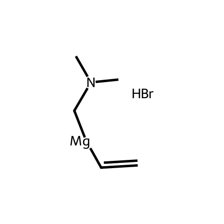 Br.C=[CH][Mg][CH2]N(C)C